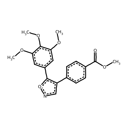 COC(=O)c1ccc(-c2cnoc2-c2cc(OC)c(OC)c(OC)c2)cc1